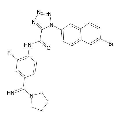 N=C(c1ccc(NC(=O)c2nnnn2-c2ccc3cc(Br)ccc3c2)c(F)c1)N1CCCC1